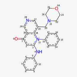 O=c1cc(Nc2ccccc2)n(-c2ccccc2)c2c(CN3CCOCC3)cncc12